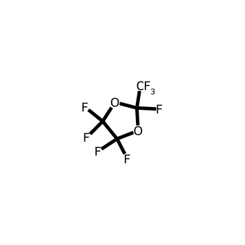 FC(F)(F)C1(F)OC(F)(F)C(F)(F)O1